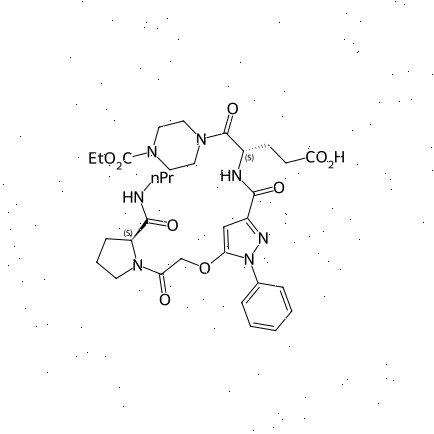 CCCNC(=O)[C@@H]1CCCN1C(=O)COc1cc(C(=O)N[C@@H](CCC(=O)O)C(=O)N2CCN(C(=O)OCC)CC2)nn1-c1ccccc1